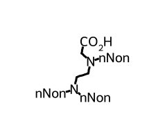 CCCCCCCCCN(CCCCCCCCC)CCN(CCCCCCCCC)CC(=O)O